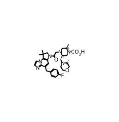 C[C@@H]1COCCN1C[C@H]1CN(C(=O)O)[C@H](C)CN1CC(=O)N1CC(C)(C)c2c1cc(Cc1ccc(F)cc1)c1nccn21